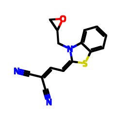 N#CC(C#N)=CC=C1Sc2ccccc2N1CC1CO1